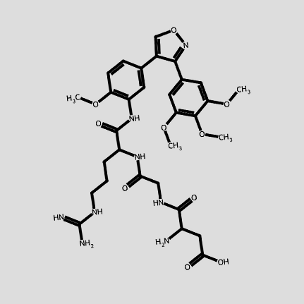 COc1ccc(-c2conc2-c2cc(OC)c(OC)c(OC)c2)cc1NC(=O)C(CCCNC(=N)N)NC(=O)CNC(=O)C(N)CC(=O)O